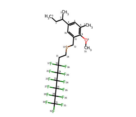 CCC(C)c1cc(C)c(OC)c(CSCCC(F)(F)C(F)(F)C(F)(F)C(F)(F)C(F)(F)C(F)(F)F)c1